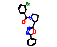 O=C(c1cccc(Br)c1)N1CCCC1c1nnc(-c2ccccc2)o1